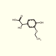 CCOc1cc(C(O)C(=O)O)ccc1O